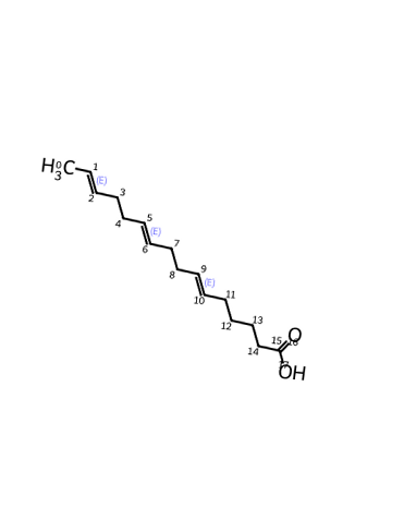 C/C=C/CC/C=C/CC/C=C/CCCCC(=O)O